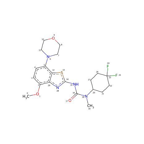 COc1ccc(N2CCOCC2)c2sc(NC(=O)N(C)C3CCC(F)(F)CC3)nc12